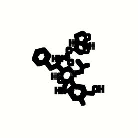 Cc1cc2c(cc1CO)C(N(CC(C)C)CC(O)C(Cc1ccccc1)NC(=O)O[C@H]1CO[C@H]3OCC[C@H]31)C(=O)N2